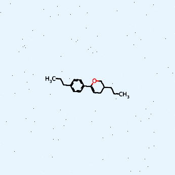 CCCc1ccc(C2=CCC(CCC)CO2)cc1